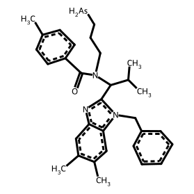 Cc1ccc(C(=O)N(CCC[AsH2])C(c2nc3cc(C)c(C)cc3n2Cc2ccccc2)C(C)C)cc1